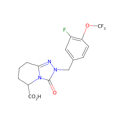 O=C(O)C1CCCc2nn(Cc3ccc(OC(F)(F)F)c(F)c3)c(=O)n21